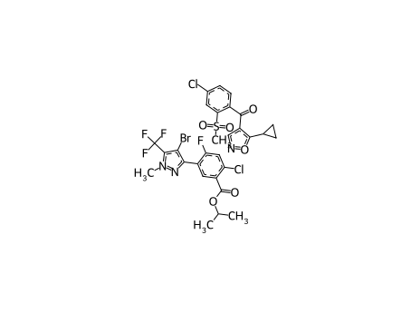 CC(C)OC(=O)c1cc(-c2nn(C)c(C(F)(F)F)c2Br)c(F)cc1Cl.CS(=O)(=O)c1cc(Cl)ccc1C(=O)c1cnoc1C1CC1